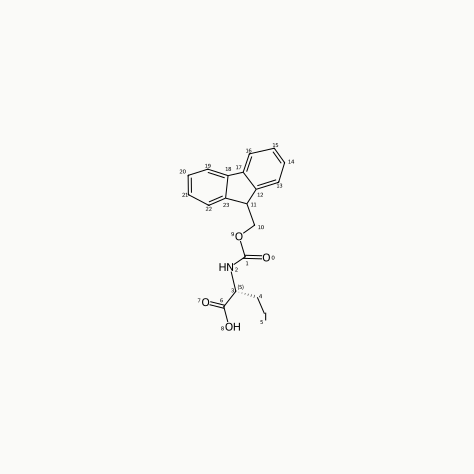 O=C(N[C@H](CI)C(=O)O)OCC1c2ccccc2-c2ccccc21